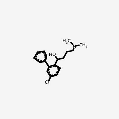 CN(C)CCCC(O)c1ccc(Cl)cc1-c1ccccc1